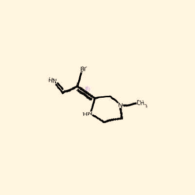 CN1CCN/C(=C(/Br)C=N)C1